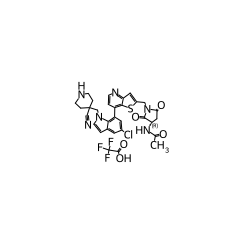 CC(=O)N[C@@H]1CC(=O)N(Cc2cc3nccc(-c4cc(Cl)cc5ccn(CC6(C#N)CCNCC6)c45)c3s2)C1=O.O=C(O)C(F)(F)F